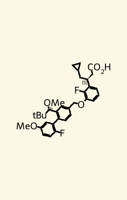 COc1ccc(F)c(-c2ccc(COc3cccc([C@H](CC(=O)O)CC4CC4)c3F)cc2[C@H](OC)C(C)(C)C)c1